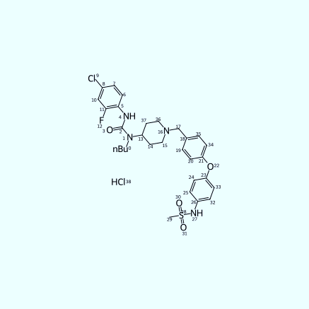 CCCCN(C(=O)Nc1ccc(Cl)cc1F)C1CCN(Cc2ccc(Oc3ccc(NS(C)(=O)=O)cc3)cc2)CC1.Cl